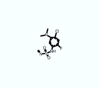 C=NS(=O)(=O)Nc1cc(N(C)C)c(Cl)cc1F